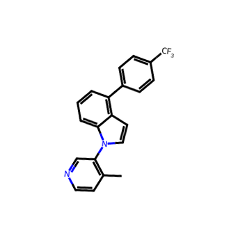 Cc1ccncc1-n1ccc2c(-c3ccc(C(F)(F)F)cc3)cccc21